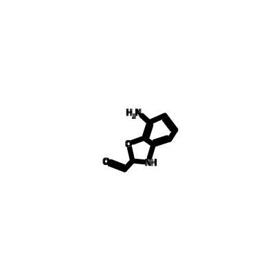 Nc1cccc2c1OC(C=O)N2